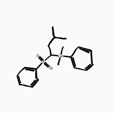 CC(C)C[CH](S(=O)(=O)c1ccccc1)[Ge]([CH3])([CH3])[c]1ccccc1